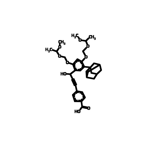 COC(C)OCOc1cc(OCOC(C)OC)c(C23CC4CC(CC(C4)C2)C3)cc1C(O)C#Cc1ccc(C(=O)O)cc1